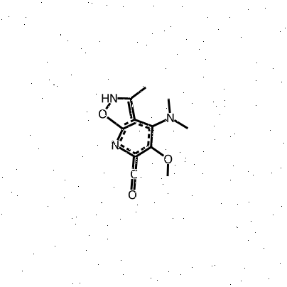 COc1c(N(C)C)c2c(nc1=C=O)ONC=2C